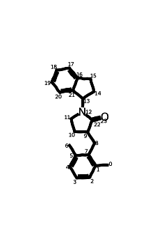 Cc1cccc(C)c1CC1CCN(C2CCc3ccccc32)C1=O